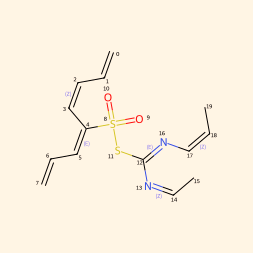 C=C/C=C\C(=C/C=C)S(=O)(=O)SC(/N=C\C)=N/C=C\C